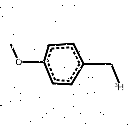 [3H]Cc1ccc(OC)cc1